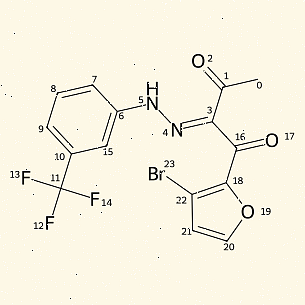 CC(=O)/C(=N\Nc1cccc(C(F)(F)F)c1)C(=O)c1occc1Br